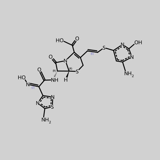 Nc1cc(S/C=C/C2=C(C(=O)O)N3C(=O)[C@@H](NC(=O)/C(=N\O)c4nsc(N)n4)[C@H]3SC2)nc(O)n1